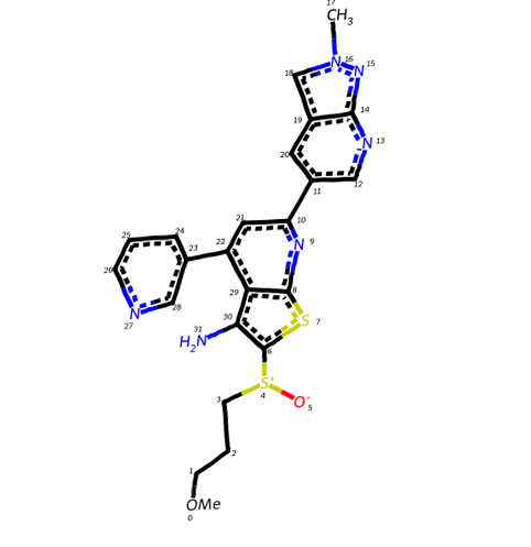 COCCC[S+]([O-])c1sc2nc(-c3cnc4nn(C)cc4c3)cc(-c3cccnc3)c2c1N